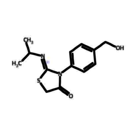 CC(C)/N=C1\SCC(=O)N1c1ccc(CO)cc1